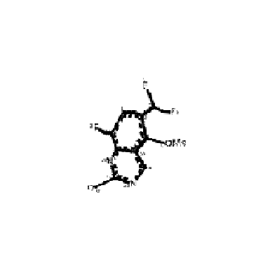 COc1c(C(F)F)cc(F)c2nc(Cl)ncc12